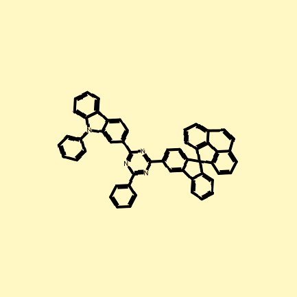 c1ccc(-c2nc(-c3ccc4c(c3)-c3ccccc3C43c4cccc5ccc6cccc3c6c45)nc(-c3ccc4c5ccccc5n(-c5ccccc5)c4c3)n2)cc1